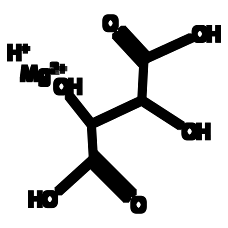 O=C(O)C(O)C(O)C(=O)O.[H+].[Mg+2]